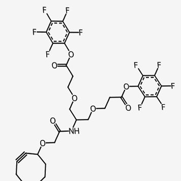 O=C(COC1C#CCCCCC1)NC(COCCC(=O)Oc1c(F)c(F)c(F)c(F)c1F)COCCC(=O)Oc1c(F)c(F)c(F)c(F)c1F